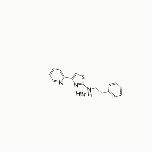 Br.c1ccc(CCNc2nc(-c3ccccn3)cs2)cc1